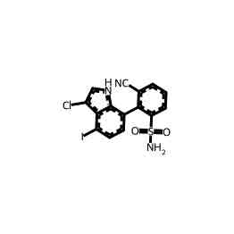 N#Cc1cccc(S(N)(=O)=O)c1-c1ccc(I)c2c(Cl)c[nH]c12